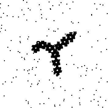 Cc1ccc(-c2ccc(-c3ccc(N(c4ccc(-c5ccc(-c6ccc(C)cc6)cc5)cc4)c4ccc(-c5ccc6oc7ccccc7c6c5)cc4)cc3)cc2)cc1